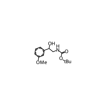 COc1cccc(C(O)CNC(=O)OC(C)(C)C)c1